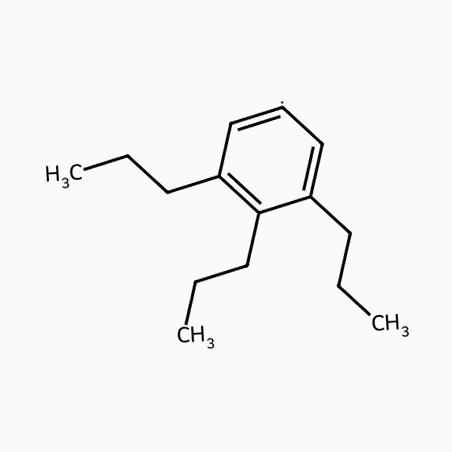 CCCc1c[c]cc(CCC)c1CCC